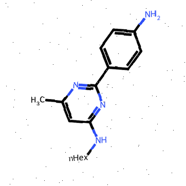 CCCCCCNc1cc(C)nc(-c2ccc(N)cc2)n1